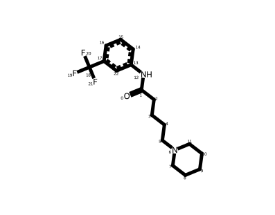 O=C(CCCCN1CCCCC1)Nc1cccc(C(F)(F)F)c1